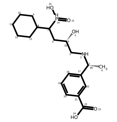 C[C@@H](NC[C@@H](O)CC(C1CCCCC1)[PH](=O)O)c1cccc(C(=O)O)c1